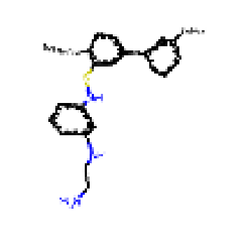 COc1cccc(-c2ccc(OC)c(SNc3cccc(NCCN)c3)c2)c1